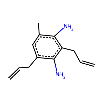 C=CCc1cc(C)c(N)c(CC=C)c1N